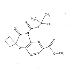 COC(=O)c1ccc2c(n1)N(C(=O)OC(C)(C)C)C(=O)C1(CCC1)O2